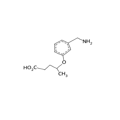 CC(CCC(=O)O)Oc1cccc(CN)c1